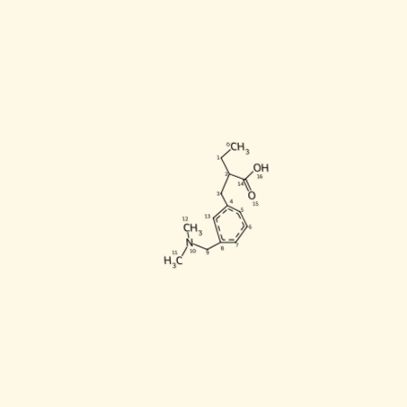 CCC(Cc1cccc(CN(C)C)c1)C(=O)O